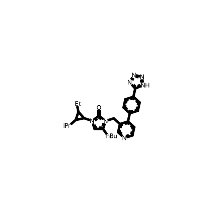 CCCCc1cn(C2C(CC)C2C(C)C)c(=O)n1Cc1cnccc1-c1ccc(-c2nnn[nH]2)cc1